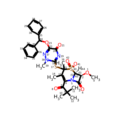 CO[C@H]1C(=O)N2C(C(=O)C(C)(C)C)=C(C)C(C)(Sc3nc(=O)c(OC(c4ccccc4)c4ccccc4)nn3C)S(=O)(=O)[C@@H]12